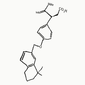 CNC(=N)[C@@H](CC(=O)O)c1ccc(OCc2ccc3c(c2)C(C)(C)CCC3)cc1